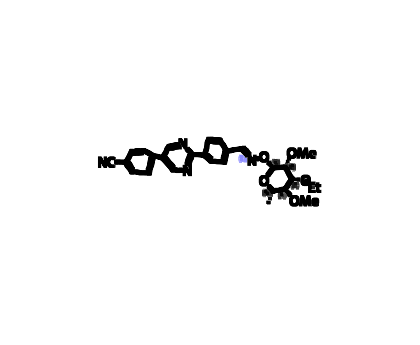 CCO[C@@H]1[C@@H](OC)[C@H](C)O[C@@H](O/N=C/c2ccc(-c3ncc(-c4ccc(C#N)cc4)cn3)cc2)[C@@H]1OC